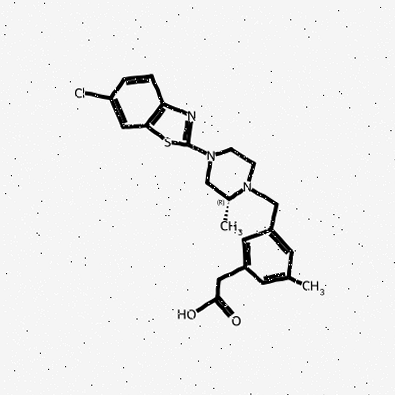 Cc1cc(CC(=O)O)cc(CN2CCN(c3nc4ccc(Cl)cc4s3)C[C@H]2C)c1